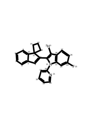 [2H]c1c(C2=Cc3ccccc3C23CCC3)n(-c2ccccn2)c2cc(F)ccc12